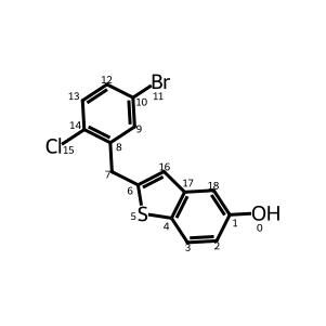 Oc1ccc2sc(Cc3cc(Br)ccc3Cl)cc2c1